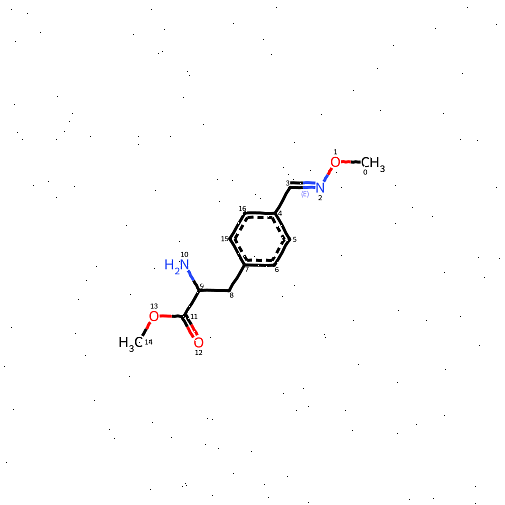 CO/N=C/c1ccc(CC(N)C(=O)OC)cc1